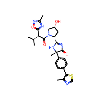 Cc1noc([C@H](C(=O)N2C[C@H](O)C[C@@H]2C2=NC(=O)[C@](C)(c3ccc(-c4scnc4C)cc3)N2)C(C)C)n1